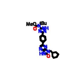 COC(=O)N(c1nc(-c2ccc(-c3cnc4[nH]c(=O)n(CC5CCCCC5)c4n3)cc2)n[nH]1)C(C)(C)C